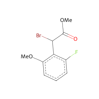 COC(=O)C(Br)c1c(F)cccc1OC